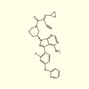 N#CC(=CC1CC1)C(=O)N1CCC[C@H](n2nc(-c3ccc(Oc4ccccc4)cc3F)c3c(N)ncnc32)C1